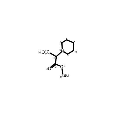 CC(C)(C)OC(=O)C(C(=O)O)N1CCCCC1